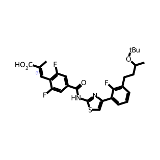 C/C(=C\c1c(F)cc(C(=O)Nc2nc(-c3cccc(CCC(C)OC(C)(C)C)c3F)cs2)cc1F)C(=O)O